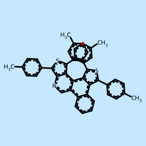 Cc1ccc(-c2sc(-c3ccc(C)cc3)c3c2ncc2c4ccccc4c4c(-c5ccc(C)cc5)sc(-c5ccc(C)cc5)c4c23)cc1